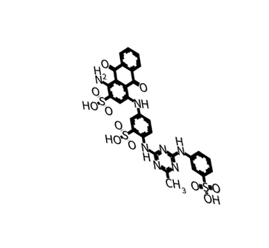 Cc1nc(Nc2cccc(S(=O)(=O)O)c2)nc(Nc2ccc(Nc3cc(S(=O)(=O)O)c(N)c4c3C(=O)c3ccccc3C4=O)cc2S(=O)(=O)O)n1